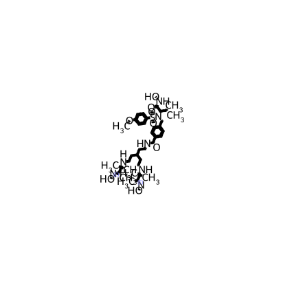 COc1ccc(S(=O)(=O)N(Cc2ccc(C(=O)NCCC(CCNC(C)(C)/C(C)=N/O)CCNC(C)(C)/C(C)=N/O)cc2)C(C(=O)NO)C(C)C)cc1